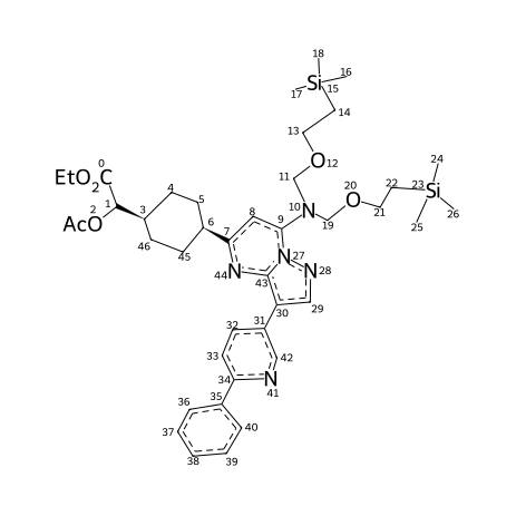 CCOC(=O)C(OC(C)=O)[C@H]1CC[C@@H](c2cc(N(COCC[Si](C)(C)C)COCC[Si](C)(C)C)n3ncc(-c4ccc(-c5ccccc5)nc4)c3n2)CC1